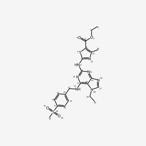 CCOC(=O)c1sc(Nc2nc(NCc3ccc(S(C)(=O)=O)cc3)c3c(ncn3CC)n2)nc1C